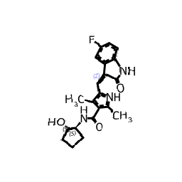 Cc1[nH]c(/C=C2\C(=O)Nc3ccc(F)cc32)c(C)c1C(=O)N[C@H]1CCC[C@@H]1O